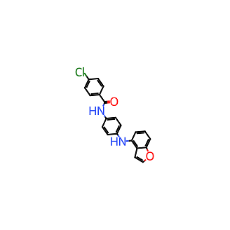 O=C(Nc1ccc(Nc2cccc3occc23)cc1)c1ccc(Cl)cc1